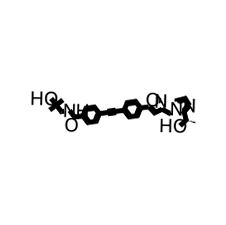 C[C@H](O)c1nccn1Cc1cc(-c2ccc(C#Cc3ccc(C(=O)NCC(C)(C)O)cc3)cc2)on1